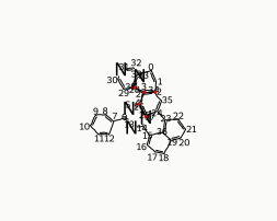 c1ccc(-c2nc(-c3ccccc3)nc(-c3cccc4cccc(-c5ccc(-c6ccncn6)cc5)c34)n2)cc1